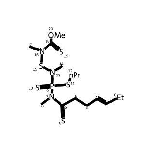 CCC=CCCC(=S)N(C)P(=S)(SCCC)N(C)SN(C)C(=S)OC